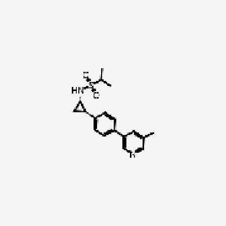 Cc1cncc(-c2ccc([C@H]3C[C@@H]3NS(=O)(=O)C(C)C)cc2)c1